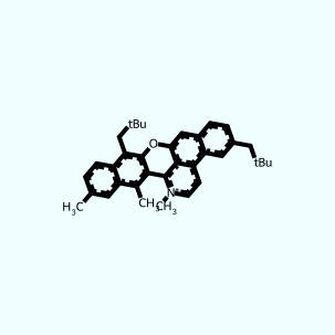 Cc1ccc2c(CC(C)(C)C)c3c(c(C)c2c1)-c1c2c(cc4ccc(CC(C)(C)C)cc4c2cc[n+]1C)O3